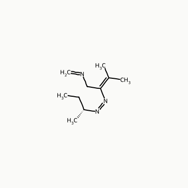 C=NCC(/N=N\[C@H](C)CC)=C(C)C